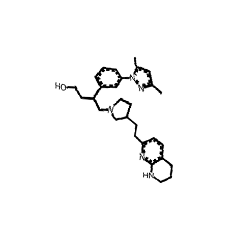 Cc1cc(C)n(-c2cccc(C(CCO)CN3CCC(CCc4ccc5c(n4)NCCC5)C3)c2)n1